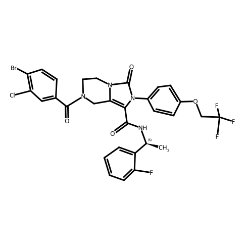 C[C@H](NC(=O)c1c2n(c(=O)n1-c1ccc(OCC(F)(F)F)cc1)CCN(C(=O)c1ccc(Br)c(Cl)c1)C2)c1ccccc1F